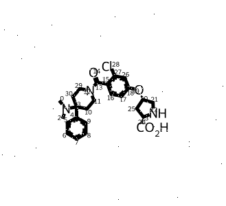 CN(C)C1(c2ccccc2)CCN(C(=O)c2ccc(O[C@@H]3CN[C@H](C(=O)O)C3)cc2Cl)CC1